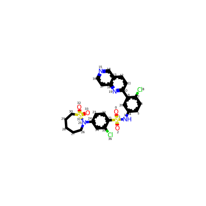 O=S(=O)(Nc1ccc(Cl)c(-c2ccc3cnccc3n2)c1)c1ccc(N2CCCCCS2(=O)=O)cc1Cl